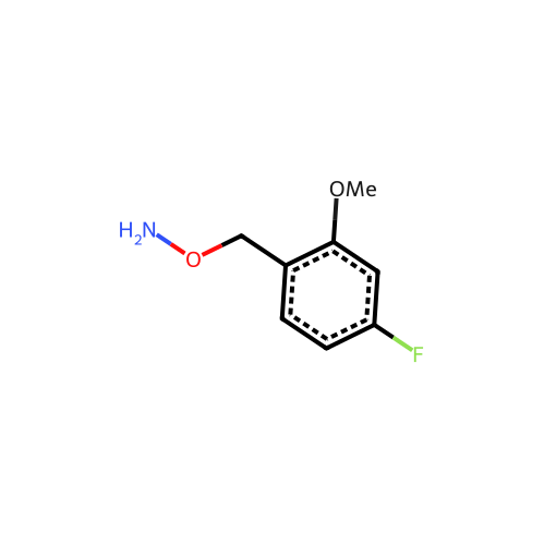 COc1cc(F)ccc1CON